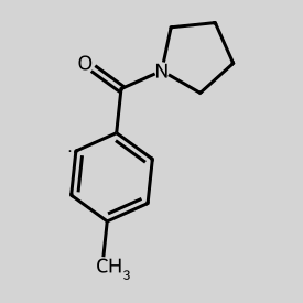 Cc1c[c]c(C(=O)N2CCCC2)cc1